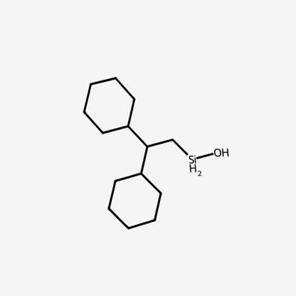 O[SiH2]CC(C1CCCCC1)C1CCCCC1